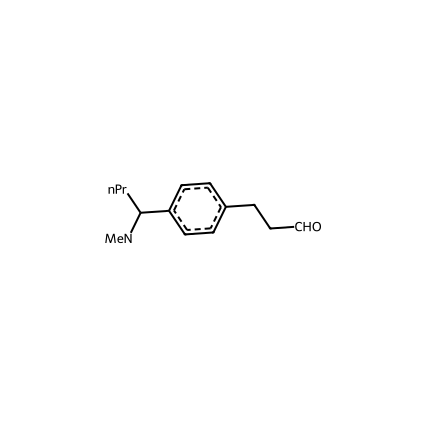 CCCC(NC)c1ccc(CCC=O)cc1